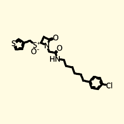 O=C(CN1C(=O)CC1[S+]([O-])Cc1ccsc1)NCCCCCCc1ccc(Cl)cc1